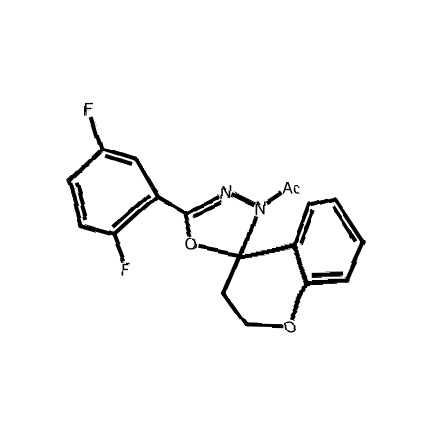 CC(=O)N1N=C(c2cc(F)ccc2F)OC12CCOc1ccccc12